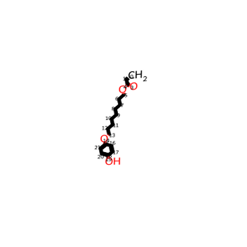 C=CC(=O)OCCCCCCCCCOc1ccc(O)cc1